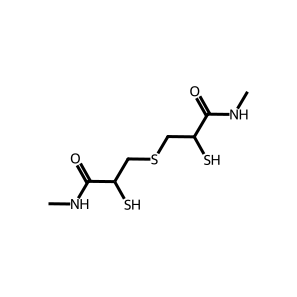 CNC(=O)C(S)CSCC(S)C(=O)NC